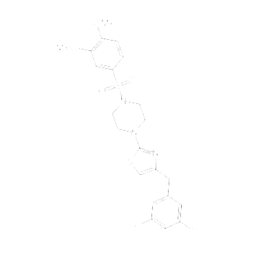 COc1ccc(S(=O)(=O)N2CCN(c3nc(Cc4cc(F)cc(Cl)c4)cs3)CC2)cc1OC